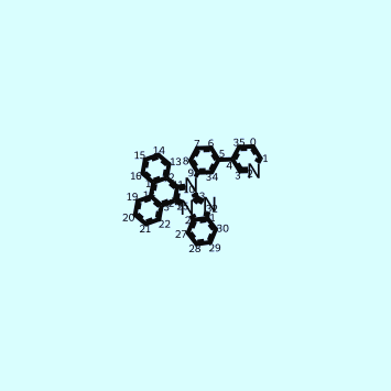 c1cncc(-c2cccc(-n3c4c5ccccc5c5ccccc5c4n4c5ccccc5nc34)c2)c1